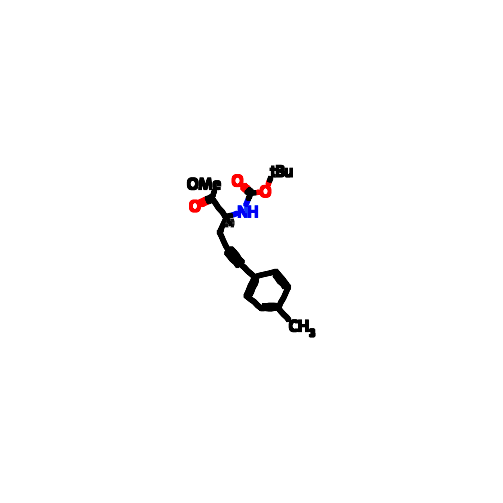 COC(=O)[C@H](CC#Cc1ccc(C)cc1)NC(=O)OC(C)(C)C